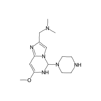 COC1=Cc2nc(CN(C)C)cn2C(N2CCNCC2)N1